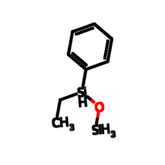 CC[SiH](O[SiH3])c1ccccc1